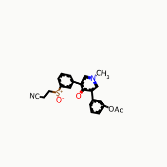 CC(=O)Oc1cccc(-c2cn(C)cc(-c3cccc([S+]([O-])CCC#N)c3)c2=O)c1